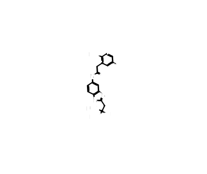 CC(C)(C)Cc1nc2cc(NC(=O)Cc3cc(Cl)ccc3O)ccc2[nH]1